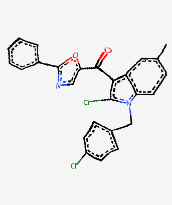 Cc1ccc2c(c1)c(C(=O)c1cnc(-c3ccccc3)o1)c(Cl)n2Cc1ccc(Cl)cc1